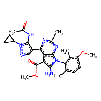 COC(=O)c1c(N)n(-c2c(C)ccc(OC)c2C)c2nc(C)nc(-c3cnn(C4CC4)c3NC(C)=O)c12